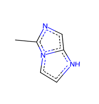 Cc1ncc2[nH]ccn12